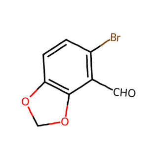 O=Cc1c(Br)ccc2c1OCO2